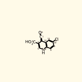 O=C=C1C(C(=O)O)=CNc2ccc(Cl)cc21